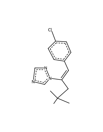 CC(C)(C)CC(=Cc1ccc(Cl)cc1)n1cncn1